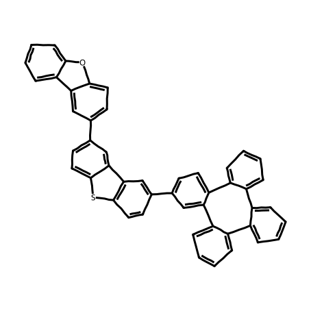 c1ccc2c(c1)-c1ccccc1-c1ccc(-c3ccc4sc5ccc(-c6ccc7oc8ccccc8c7c6)cc5c4c3)cc1-c1ccccc1-2